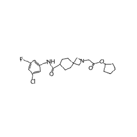 O=C(CN1CC2(CCC(C(=O)Nc3cc(F)cc(Cl)c3)CC2)C1)OC1CCCC1